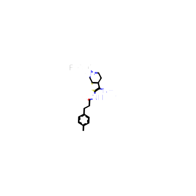 CCOC(=O)N1CCC2C(N)=C(NC(=O)CCc3ccc(C)cc3)SC2C1